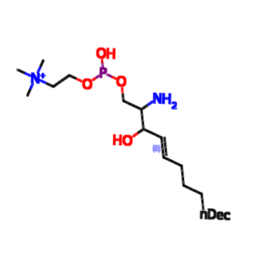 CCCCCCCCCCCCC/C=C/C(O)C(N)COP(O)OCC[N+](C)(C)C